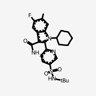 Cc1cc2c(cc1F)c(C(N)=O)c(-c1ccc(S(=O)(=O)NC(C)(C)C)cn1)n2C1CCCCC1